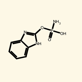 NP(=O)(O)Oc1nc2ccccc2[nH]1